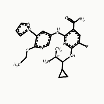 CCOc1ncc(Nc2nc(NC(C3CC3)[C@H](C)N)c(F)cc2C(N)=O)cc1-n1cccn1